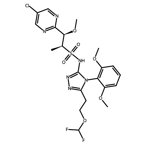 COc1cccc(OC)c1-n1c(CCOC(F)F)nnc1NS(=O)(=O)[C@@H](C)[C@H](OC)c1ncc(Cl)cn1